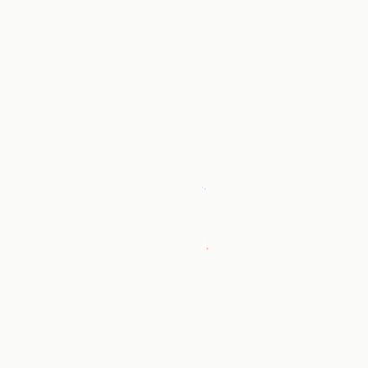 CC1CC(O)CCN1CCCc1ccsc1